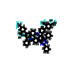 FC(F)(F)c1ccc(-c2ccc3c(c2)c2ccccc2n3-c2ccc(-c3nc(-c4ccccc4)nc(-c4ccccc4)n3)cc2-c2c(-n3c4ccccc4c4cc(-c5ccc(C(F)(F)F)cc5C(F)(F)F)ccc43)cccc2C(F)(F)F)c(C(F)(F)F)c1